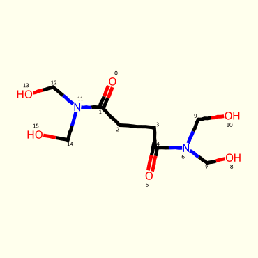 O=C(CCC(=O)N(CO)CO)N(CO)CO